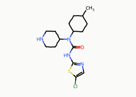 CC1CCC(N(C(=O)Nc2ncc(Cl)s2)C2CCNCC2)CC1